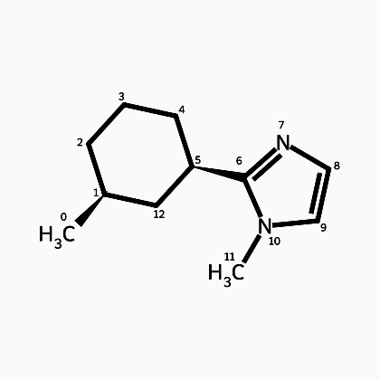 C[C@H]1CCC[C@@H](c2nccn2C)C1